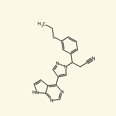 CCSc1cccc(C(CC#N)n2cc(-c3ncnc4[nH]ccc34)cn2)c1